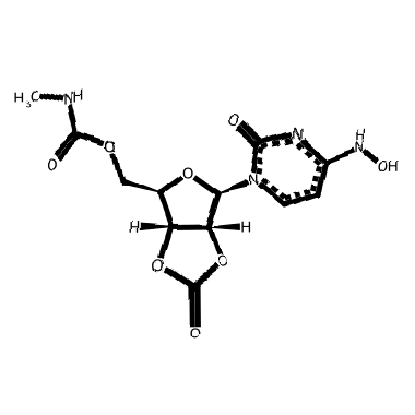 CNC(=O)OC[C@H]1O[C@@H](n2ccc(NO)nc2=O)[C@@H]2OC(=O)O[C@@H]21